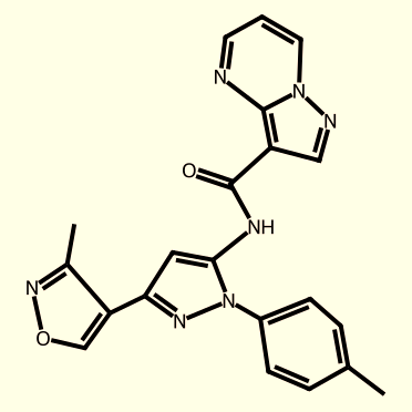 Cc1ccc(-n2nc(-c3conc3C)cc2NC(=O)c2cnn3cccnc23)cc1